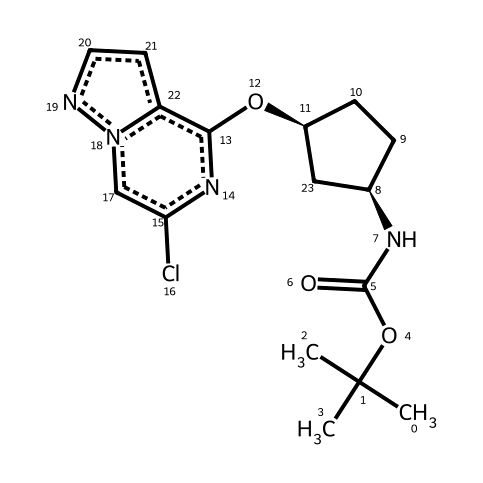 CC(C)(C)OC(=O)N[C@@H]1CC[C@H](Oc2nc(Cl)cn3nccc23)C1